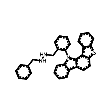 c1ccc(CNNCc2ccccc2-n2c3ccccc3c3ccc4sc5ccccc5c4c32)cc1